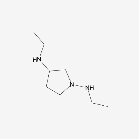 CCNC1CCN(NCC)C1